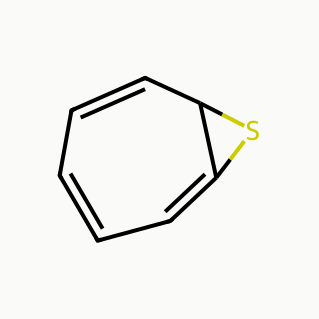 C1=CC=C2SC2C=C1